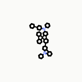 c1ccc(-c2ccc(N(c3ccccc3)c3ccc4c(c3)C3(c5ccccc5-c5ccccc53)c3cc(-c5ccc6c(c5)c5ccccc5n6-c5ccccc5)ccc3-4)cc2)cc1